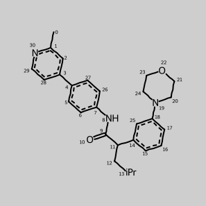 Cc1cc(-c2ccc(NC(=O)C(CC(C)C)c3cccc(N4CCOCC4)c3)cc2)ccn1